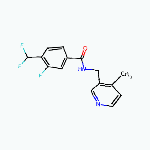 Cc1ccncc1CNC(=O)c1ccc(C(F)F)c(F)c1